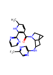 CC1C=CC(C(=O)N2CC3CC34CC(Nc3cnc(C(F)(F)F)cn3)C24)=C(c2ncccn2)N1